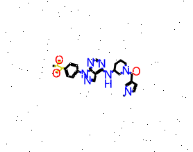 Cn1ccc(C(=O)N2CCCC(Nc3ncnc4c3cnn4-c3ccc(S(C)(=O)=O)cc3)C2)c1